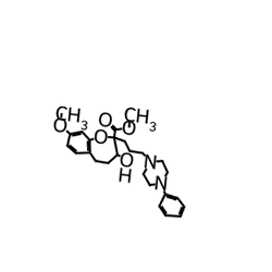 COC(=O)C1(CCCN2CCN(c3ccccc3)CC2)Oc2cc(OC)ccc2CCC1O